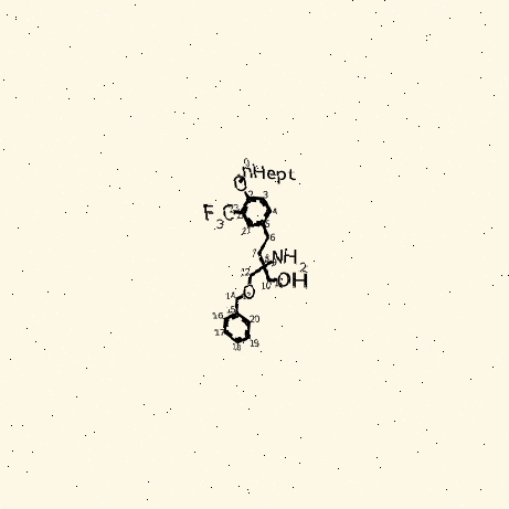 CCCCCCCOc1ccc(CCC(N)(CO)COCc2ccccc2)cc1C(F)(F)F